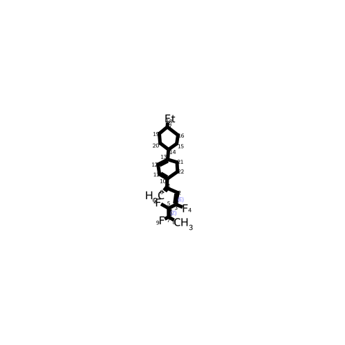 C=C(/C=C(F)\C(F)=C(/C)F)C1=CC=C(C2CCC(CC)CC2)CC1